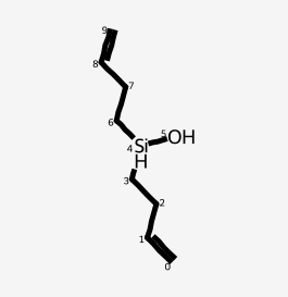 C=CCC[SiH](O)CCC=C